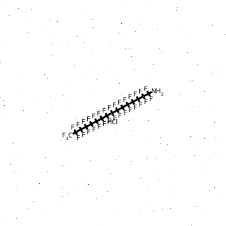 Cl.NC(F)(F)C(F)(F)C(F)(F)C(F)(F)C(F)(F)C(F)(F)C(F)(F)C(F)(F)C(F)(F)C(F)(F)C(F)(F)C(F)(F)C(F)(F)C(F)(F)C(F)(F)C(F)(F)F